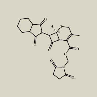 CC1=C(C(=O)OCN2C(=O)CCC2=O)N2C(=O)C(N3C(=O)C4CCCCC4C3=O)[C@H]2SC1